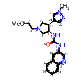 COCCN1C[C@@H](NC(=O)Nc2cnc3ccccc3c2)[C@H](c2cnn(C)c2)C1